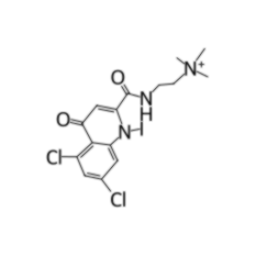 C[N+](C)(C)CCNC(=O)c1cc(=O)c2c(Cl)cc(Cl)cc2n1I